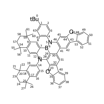 CC(C)(C)c1ccc(N2B3c4cc5c(cc4N(c4ccc6c(c4)C(C)(C)CCC6(C)C)c4c3c(cc3c4oc4ccccc43)-c3cc4c(cc32)oc2ccccc24)C(C)(C)CCC5(C)C)cc1